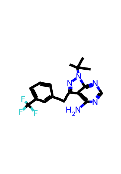 CC(C)(C)n1nc(Cc2cccc(C(F)(F)F)c2)c2c(N)ncnc21